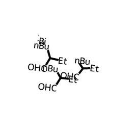 CCCCC(C=O)CC.CCCCC(C=O)CC.CCCCC(C=O)CC.[Bi]